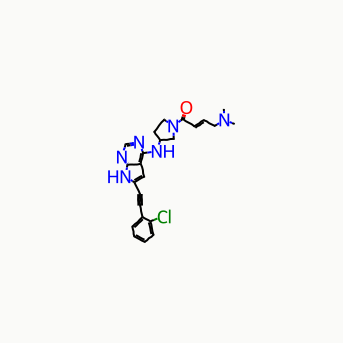 CN(C)CC=CC(=O)N1CCC(Nc2ncnc3[nH]c(C#Cc4ccccc4Cl)cc23)C1